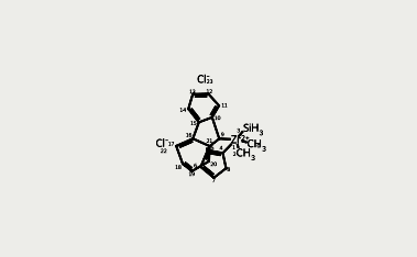 [CH3][Zr+2]([CH3])([SiH3])([C]1=CC=CC1)[CH]1c2ccccc2-c2ccccc21.[Cl-].[Cl-]